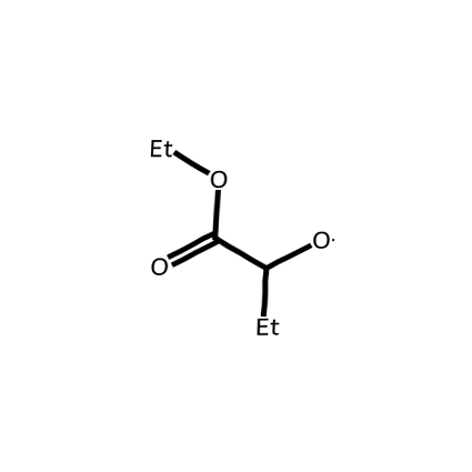 CCOC(=O)C([O])CC